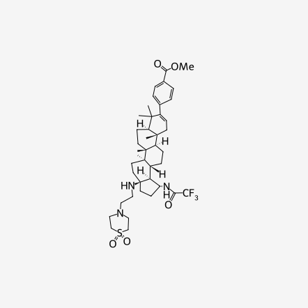 COC(=O)c1ccc(C2=CC[C@]3(C)[C@H]4CC[C@@H]5[C@H]6[C@H](NC(=O)C(F)(F)F)CC[C@]6(NCCN6CCS(=O)(=O)CC6)CC[C@@]5(C)[C@]4(C)CC[C@H]3C2(C)C)cc1